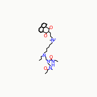 CCCN(CCCCCC[N+](C)(C)CCCC1C(=O)c2cccc3cccc(c23)C1=O)CCN(CCN(C)C(=O)CC)C(=O)NCC